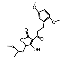 COc1ccc(OC)c(CCC(=O)C2=C(O)C(CC(C)SC)OC2=O)c1